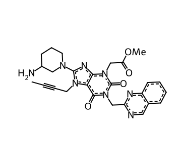 CC#CCn1c(N2CCCC(N)C2)nc2c1c(=O)n(Cc1ncc3ccccc3n1)c(=O)n2CC(=O)OC